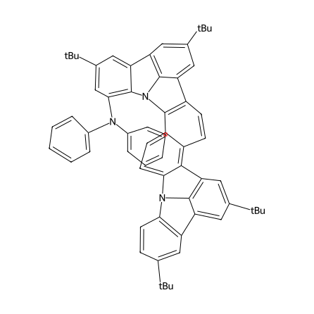 CC(C)(C)c1ccc2c(c1)c1cc(C(C)(C)C)cc3c4c5ccc6c7cc(C(C)(C)C)cc8c9cc(C(C)(C)C)cc(N(c%10ccccc%10)c%10ccccc%10)c9n(c6c5ccc4n2c13)c87